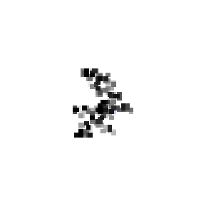 C/C(=C/c1[nH]c(C)c(NC=O)c1C)C(=O)Nc1ccc(C)cc1